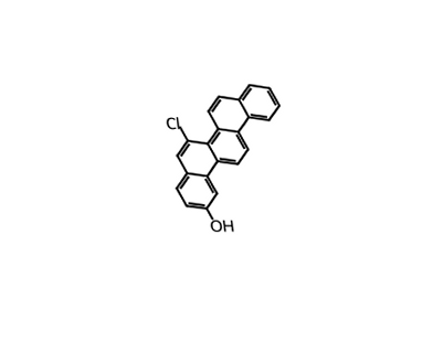 Oc1ccc2cc(Cl)c3c(ccc4c5ccccc5ccc43)c2c1